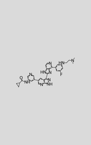 CN(C)CCNc1cc(F)cc(-c2nccc3[nH]c(-c4n[nH]c5ncc(-c6cncc(NC(=O)C7CC7)c6)cc45)nc23)c1